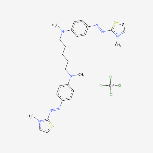 CN(CCCCCN(C)c1ccc(N=Nc2scc[n+]2C)cc1)c1ccc(N=Nc2scc[n+]2C)cc1.[Cl][Zn-2]([Cl])([Cl])[Cl]